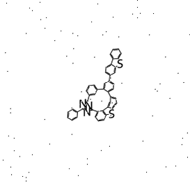 c1ccc(-c2nc3nc(n2)c2cccc4sc5ccc(cc5c42)c2ccc(-c4ccc5c(c4)sc4ccccc45)cc2c2cccc3c2)cc1